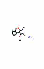 COC(=O)C1=C(CF)NC(CSC=NN)=C(C(=O)OC(C)C)C1c1c(F)ccc(Cl)c1C(F)(F)F.Cl